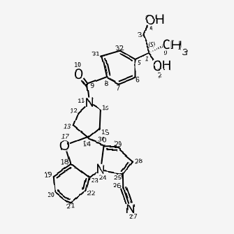 C[C@@](O)(CO)c1ccc(C(=O)N2CCC3(CC2)Oc2ccccc2-n2c(C#N)ccc23)cc1